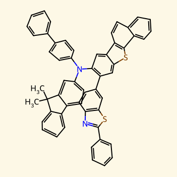 CC1(C)c2ccccc2-c2ccc(N(c3ccc(-c4ccccc4)cc3)c3cc4c(cc3-c3ccc5nc(-c6ccccc6)sc5c3)sc3c5ccccc5ccc43)cc21